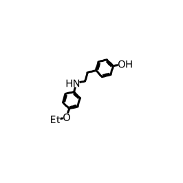 CCOc1ccc(NCCc2ccc(O)cc2)cc1